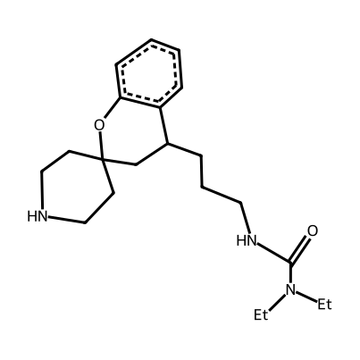 CCN(CC)C(=O)NCCCC1CC2(CCNCC2)Oc2ccccc21